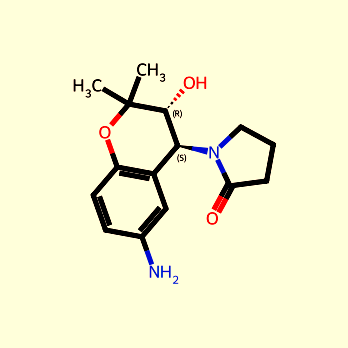 CC1(C)Oc2ccc(N)cc2[C@H](N2CCCC2=O)[C@H]1O